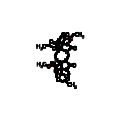 CCOC(=O)C12N3COCOCN1C(=O)N1CN4C(=O)N5COCN6C(=O)N(CN(C3=O)C12C(=O)OCC)C4(C(=O)OCC)C65C(=O)OCC